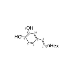 CCCCCC/C=C/c1ccc(O)c(O)c1